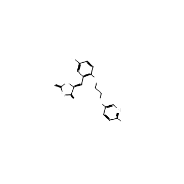 Cc1ccc(OCCOc2ccc(Br)cc2/C=C2\SC(=S)NC2=O)cn1